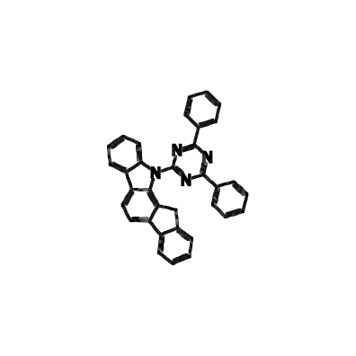 c1ccc(-c2nc(-c3ccccc3)nc(-n3c4ccccc4c4ccc5c(c43)Cc3ccccc3-5)n2)cc1